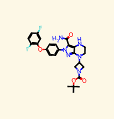 CC(C)(C)OC(=O)N1CC(N2CCNc3c2nn(-c2ccc(Oc4cc(F)ccc4F)cc2)c3C(N)=O)C1